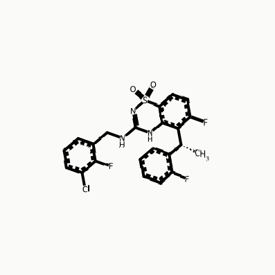 C[C@H](c1ccccc1F)c1c(F)ccc2c1NC(NCc1cccc(Cl)c1F)=NS2(=O)=O